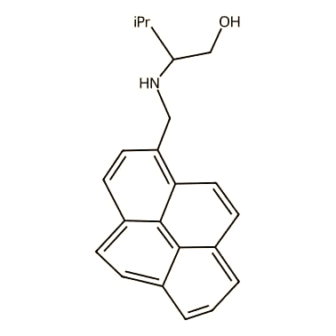 CC(C)C(CO)NCc1ccc2ccc3cccc4ccc1c2c34